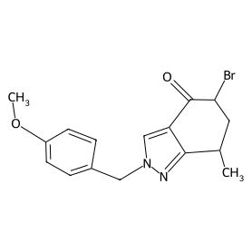 COc1ccc(Cn2cc3c(n2)C(C)CC(Br)C3=O)cc1